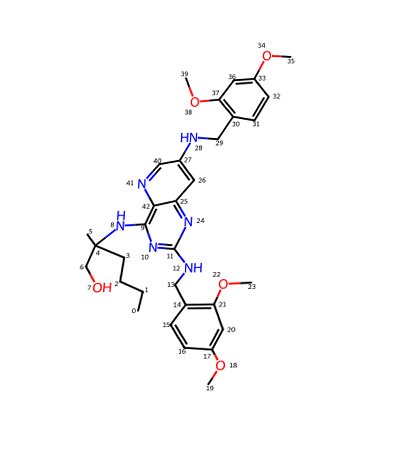 CCCCC(C)(CO)Nc1nc(NCc2ccc(OC)cc2OC)nc2cc(NCc3ccc(OC)cc3OC)cnc12